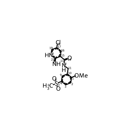 COc1ccc(S(C)(=O)=O)cc1CNC(=O)c1cc(Cl)c[nH]c1=N